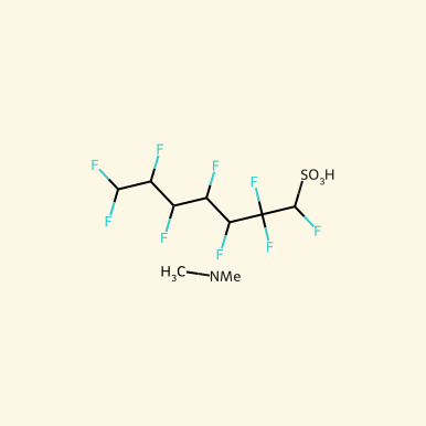 CNC.O=S(=O)(O)C(F)C(F)(F)C(F)C(F)C(F)C(F)C(F)F